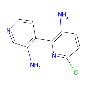 Nc1cnccc1-c1nc(Cl)ccc1N